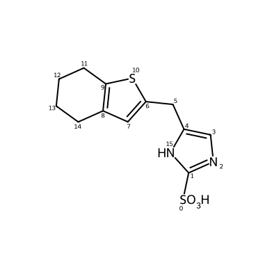 O=S(=O)(O)c1ncc(Cc2cc3c(s2)CCCC3)[nH]1